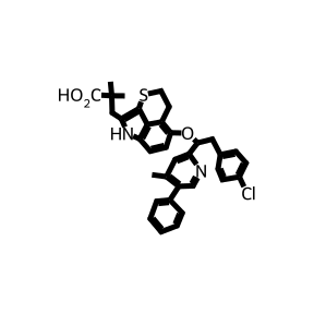 Cc1cc(C(Cc2ccc(Cl)cc2)Oc2ccc3[nH]c(CC(C)(C)C(=O)O)c4c3c2CCS4)ncc1-c1ccccc1